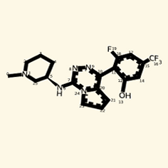 CN1CCC[C@@H](Nc2nnc(-c3c(O)cc(C(F)(F)F)cc3F)c3cccn23)C1